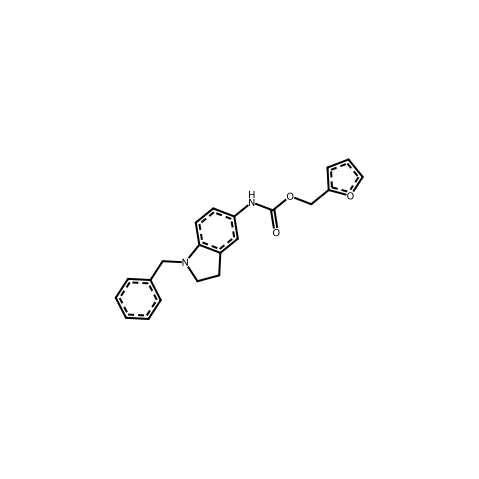 O=C(Nc1ccc2c(c1)CCN2Cc1ccccc1)OCc1ccco1